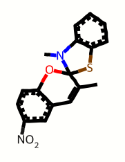 CC1=Cc2cc([N+](=O)[O-])ccc2OC12Sc1ccccc1N2C